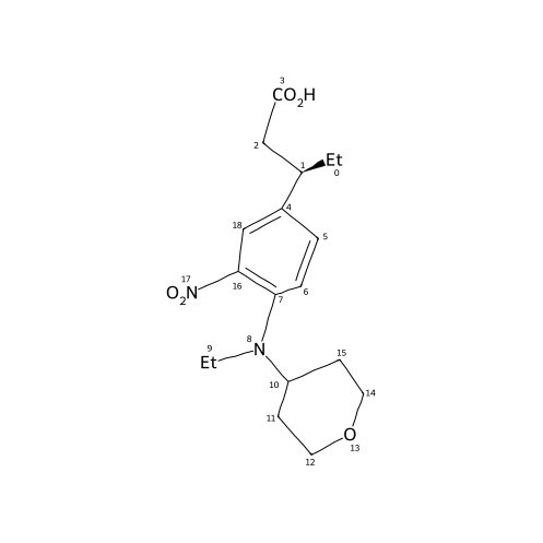 CC[C@H](CC(=O)O)c1ccc(N(CC)C2CCOCC2)c([N+](=O)[O-])c1